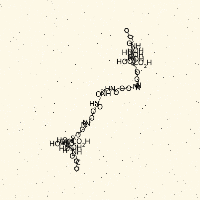 C[C@H](CCCCNC(=O)CCOCCOCCn1cc(COCCOCCC2C[C@@]2(C[C@H](O)[C@@H](NC(=O)CO)[C@@H](O)[C@H](O)[C@H](O)CNC(=O)Cc2ccc(-c3ccccc3)cc2)C(=O)O)nn1)NC(=O)CCCNC(=O)CCOCCOCCn1cc(COCCOCCS[C@@]2(C(=O)O)C[C@H](O)[C@@H](NC(=O)CO)[C@H]([C@H](O)[C@H](O)CNC(=O)Cc3ccc(-c4ccccc4)cc3)O2)nn1